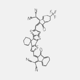 N#CC(C#N)=C1C2=CCCC=C2C(=O)/C1=C\c1cc2c(s1)-c1sc3cc(/C=C4\C(=O)C5=CCC(C(F)(F)F)CC=C5C4=C(C#N)C#N)sc3c1C21CCCCC1